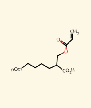 C=CC(=O)OCC(CCCCCCCCCCCC)C(=O)O